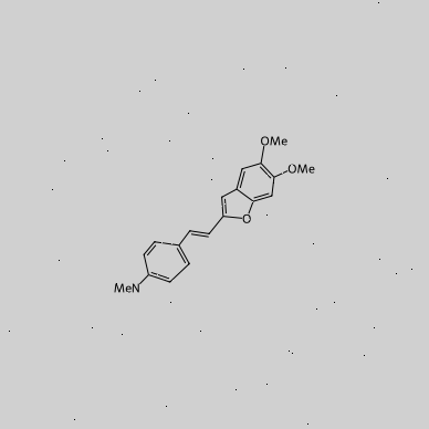 CNc1ccc(C=Cc2cc3cc(OC)c(OC)cc3o2)cc1